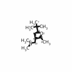 Cc1oc(C(C)(C)C)cc1CN(C)C